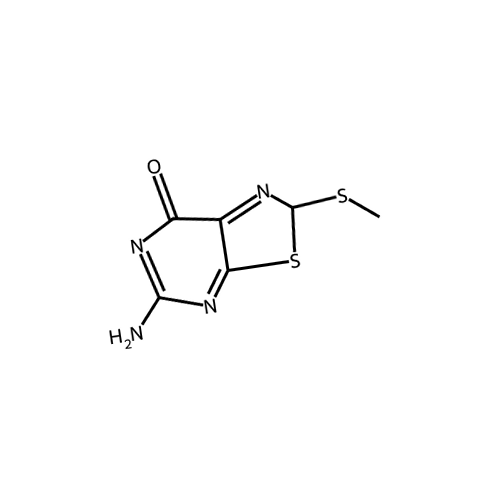 CSC1N=C2C(=O)N=C(N)N=C2S1